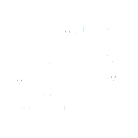 COc1cc(C(C)(C)OC)cc(OC)c1S(=O)(=O)Cl